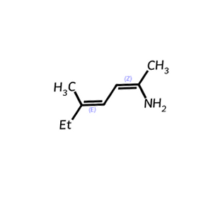 CC/C(C)=C/C=C(/C)N